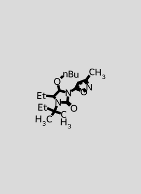 CCCCOC1C(CC)N(C(C)(C)CC)C(=O)N1c1cc(C)no1